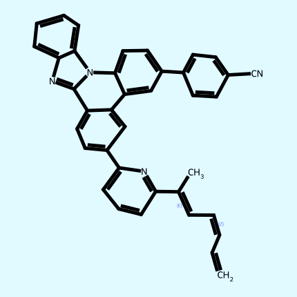 C=C/C=C\C=C(/C)c1cccc(-c2ccc3c(c2)c2cc(-c4ccc(C#N)cc4)ccc2n2c4ccccc4nc32)n1